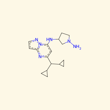 NN1CCC(Nc2cc(C(C3CC3)C3CC3)nc3ccnn23)C1